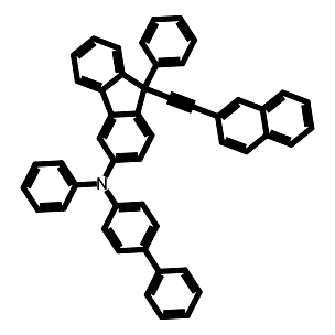 C(#CC1(c2ccccc2)c2ccccc2-c2cc(N(c3ccccc3)c3ccc(-c4ccccc4)cc3)ccc21)c1ccc2ccccc2c1